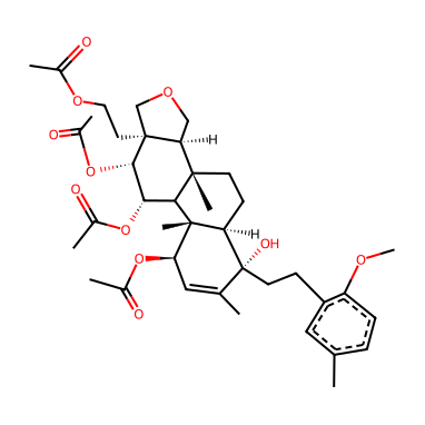 COc1ccc(C)cc1CC[C@@]1(O)C(C)=C[C@@H](OC(C)=O)[C@]2(C)C3[C@H](OC(C)=O)[C@H](OC(C)=O)[C@@]4(CCOC(C)=O)COC[C@H]4[C@]3(C)CC[C@H]21